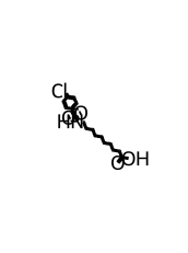 O=C(O)CCCCCCCCCNS(=O)(=O)c1ccc(Cl)cc1